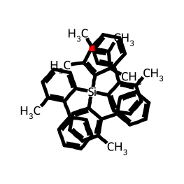 CC1=C(C)C(C)C([Si](c2cccc(C)c2-c2ccccc2)(c2cccc(C)c2-c2ccccc2)c2cccc(C)c2-c2ccccc2)=C1C